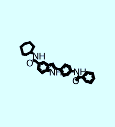 O=C(Nc1ccc(-c2cc3cc(C(=O)NC4CCCCCC4)ccc3[nH]2)cc1)c1ccccc1